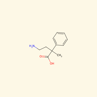 CC(CCN)(C(=O)O)c1ccccc1